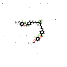 CCOc1ccc(OC(F)(F)C2CCC(CCCCCC(F)(CCCCCC3CCC(C(F)(F)Oc4ccc(C)c(F)c4F)CC3)C(F)(F)F)CC2)c(F)c1F